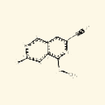 CSc1nc(C#N)cc2cnc(Cl)cc12